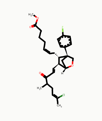 COC(=O)CCC/C=C\C[C@H]1[C@H](/C=C/C(=O)C(C)C/C=C(/C)Cl)[C@@H]2C[C@@]1(c1ccc(F)cc1)CO2